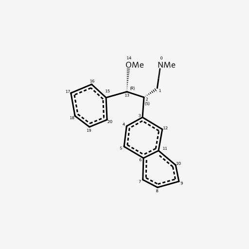 CNC[C@H](c1ccc2ccccc2c1)[C@@H](OC)c1ccccc1